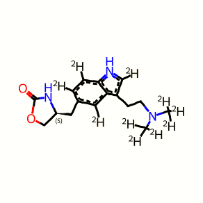 [2H]c1[nH]c2c([2H])c([2H])c(C[C@H]3COC(=O)N3)c([2H])c2c1CCN(C([2H])([2H])[2H])C([2H])([2H])[2H]